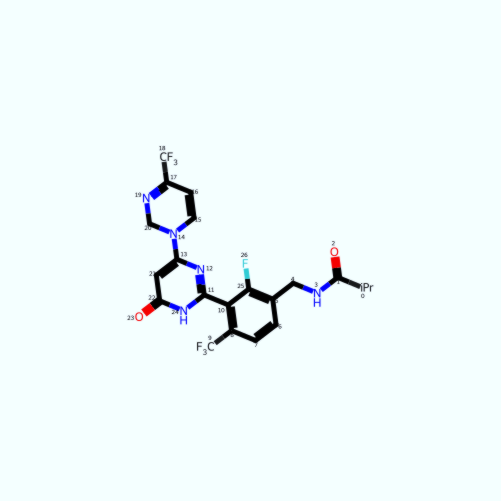 CC(C)C(=O)NCc1ccc(C(F)(F)F)c(-c2nc(N3C=CC(C(F)(F)F)=NC3)cc(=O)[nH]2)c1F